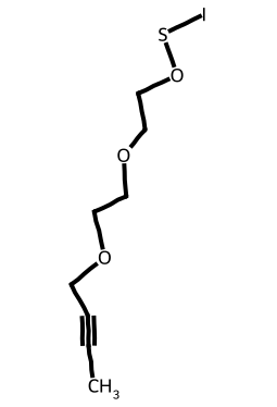 CC#CCOCCOCCOSI